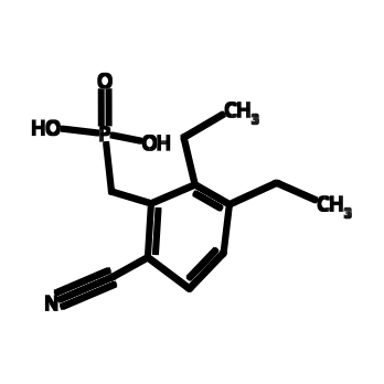 CCc1ccc(C#N)c(CP(=O)(O)O)c1CC